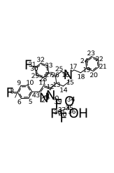 Cn1nc(-c2ccc(F)cc2)cc1C1CCN(CCc2ccccc2)CC1c1ccc(F)cc1.O=C(O)C(F)(F)F